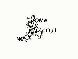 COC(=O)N1c2ccc3c(nc(CC4CCC(C#N)CC4)n3C3CCCC(C(=O)O)C3)c2CC[C@@H]1C